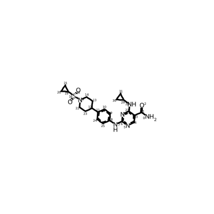 NC(=O)c1cnc(Nc2ccc(C3CCN(S(=O)(=O)C4CC4)CC3)cc2)nc1NC1CC1